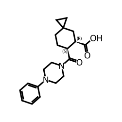 O=C(O)[C@@H]1CC2(CC[C@@H]1C(=O)N1CCN(c3ccccc3)CC1)CC2